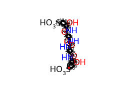 O=C(Nc1ccc(C(=O)Nc2cc(O)c3ccc(S(=O)(=O)O)cc3c2)cc1)C(=O)Nc1ccc(C(=O)Nc2cc(O)c3ccc(S(=O)(=O)O)cc3c2)cc1